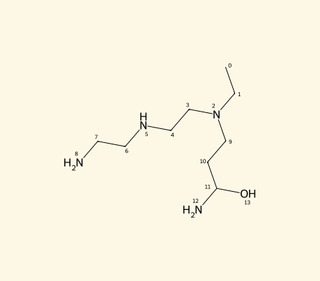 CCN(CCNCCN)CCC(N)O